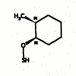 C[C@@H]1CCCC[C@H]1OS